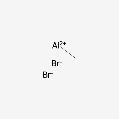 [Br-].[Br-].[CH3][Al+2]